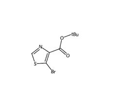 CC(C)(C)OC(=O)c1ncsc1Br